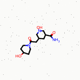 NC(=O)C1CC(CC(=O)N2CCC(O)CC2)CN(O)C1